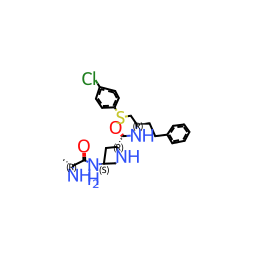 C[C@@H](N)C(=O)N[C@@H]1CN[C@@H](C(=O)N[C@H](CCc2ccccc2)CSc2ccc(Cl)cc2)C1